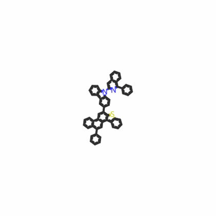 c1ccc(-c2nc(-n3c4ccccc4c4cc(-c5cc6c7ccccc7c(-c7ccccc7)cc6c6c5sc5ccccc56)ccc43)cc3ccccc23)cc1